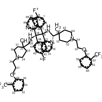 CC1(CNC(c2ccc(F)cc2)(c2ccccn2)[C@](NCC2(C)CCN(CCOc3ccccc3C(F)(F)F)CC2)(c2ccc(F)cc2)c2ccccn2)CCN(CCOc2ccccc2C(F)(F)F)CC1